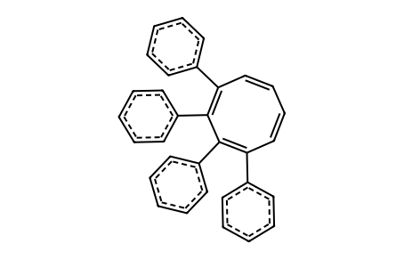 C1=CC(c2ccccc2)=C(c2ccccc2)C(c2ccccc2)=C(c2ccccc2)C=C1